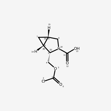 O=C(Cl)OC[C@@H]1[C@@H]2C[C@@H]2CN1C(=O)O